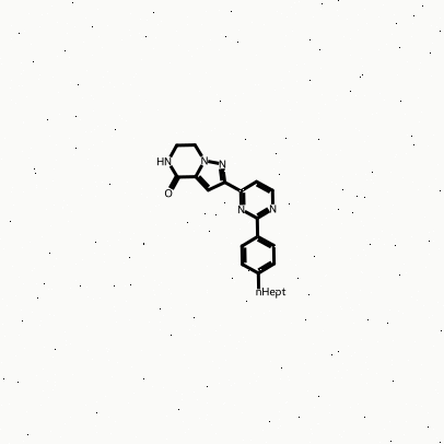 CCCCCCCc1ccc(-c2nccc(-c3cc4n(n3)CCNC4=O)n2)cc1